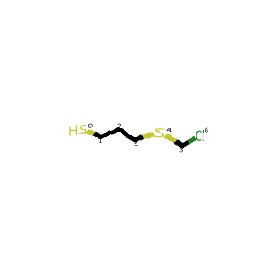 SCCCSCCl